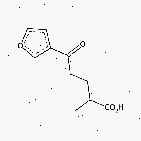 CC(CCC(=O)c1ccoc1)C(=O)O